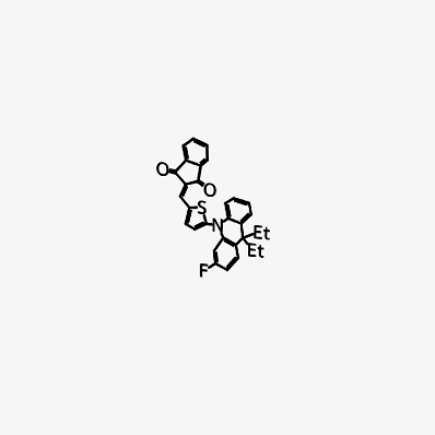 CCC1(CC)c2ccccc2N(c2ccc(C=C3C(=O)c4ccccc4C3=O)s2)c2cc(F)ccc21